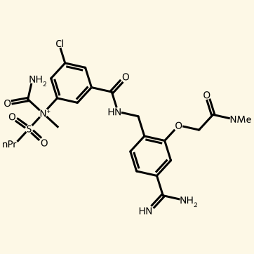 CCCS(=O)(=O)[N+](C)(C(N)=O)c1cc(Cl)cc(C(=O)NCc2ccc(C(=N)N)cc2OCC(=O)NC)c1